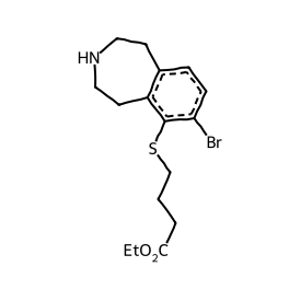 CCOC(=O)CCCSc1c(Br)ccc2c1CCNCC2